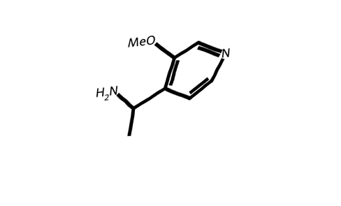 COc1cnccc1C(C)N